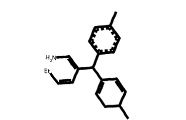 CC/C=C\C(=C/N)C(C1=CCC(C)C=C1)c1ccc(C)cc1